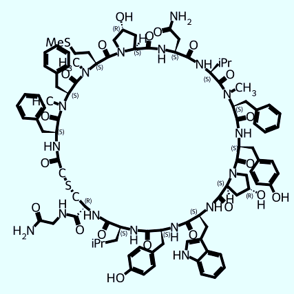 CSCC[C@H]1C(=O)N2C[C@H](O)C[C@H]2C(=O)N[C@@H](CC(N)=O)C(=O)N[C@@H](C(C)C)C(=O)N(C)[C@@H](Cc2ccccc2)C(=O)N[C@@H](Cc2ccc(O)cc2)C(=O)N2C[C@H](O)C[C@H]2C(=O)N[C@@H](Cc2c[nH]c3ccccc23)C(=O)N[C@@H](Cc2ccc(O)cc2)C(=O)N[C@@H](CC(C)C)C(=O)N[C@H](C(=O)NCC(N)=O)CSCC(=O)N[C@@H](Cc2ccccc2)C(=O)N(C)[C@@H](Cc2ccccc2)C(=O)N1C